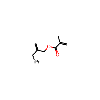 C=C(COC(=O)C(=C)C)CC(C)C